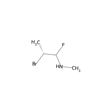 CNC(F)[C@@H](C)Br